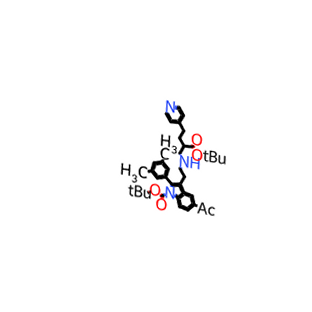 CC(=O)c1ccc2c(c1)c(CCNCC(CCc1ccncc1)C(=O)OC(C)(C)C)c(-c1cc(C)cc(C)c1)n2C(=O)OC(C)(C)C